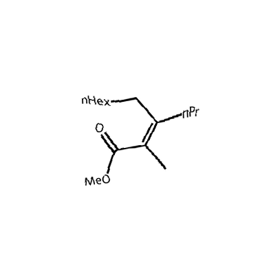 CCCCCCCC(CCC)=C(C)C(=O)OC